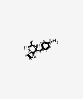 CC(S)N[C@@H](Cc1ccc(N)cc1)c1nccs1